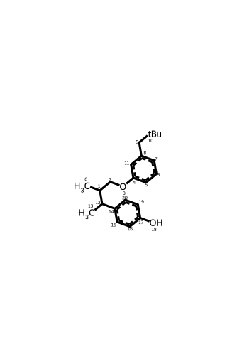 CC(COc1cccc(CC(C)(C)C)c1)C(C)c1ccc(O)cc1